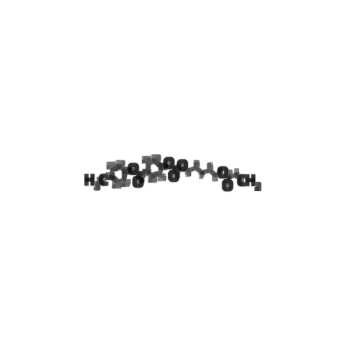 C=CC(=O)OCCCCCOC(=O)Oc1ccc(C(=O)Oc2ccc(C)cc2)cc1